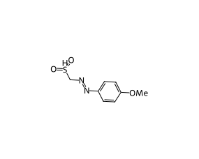 COc1ccc(N=NC[SH](=O)=O)cc1